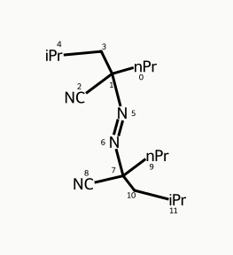 CCCC(C#N)(CC(C)C)N=NC(C#N)(CCC)CC(C)C